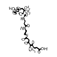 CC(C(=O)CCC(=O)O)C(=O)CC(=O)SCCNC(=O)CCNC(=O)[C@@H]1OP(=O)(O)OCC1(C)C